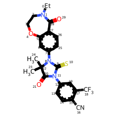 CCN1CCOc2cc(N3C(=S)N(c4ccc(C#N)c(C(F)(F)F)c4)C(=O)C3(C)C)ccc2C1=O